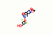 Cc1c2c(cc3c1N(CCOc1c(F)cc(CO)cc1F)CCO3)CCN(C(=O)OC(C)(C)C)CC2